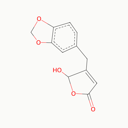 O=C1C=C(Cc2ccc3c(c2)OCO3)C(O)O1